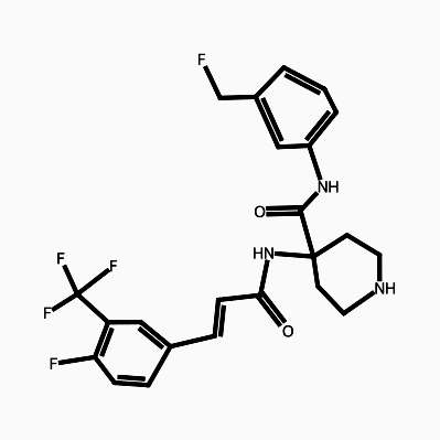 O=C(/C=C/c1ccc(F)c(C(F)(F)F)c1)NC1(C(=O)Nc2cccc(CF)c2)CCNCC1